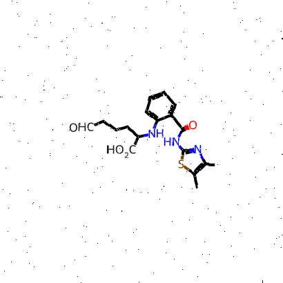 Cc1nc(NC(=O)c2ccccc2NC(CCCC=O)C(=O)O)sc1C